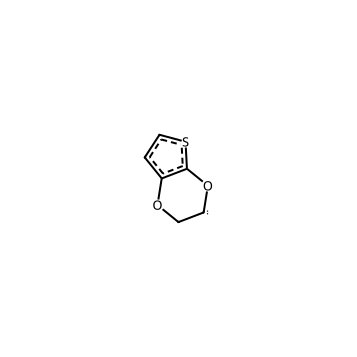 [C]1COc2ccsc2O1